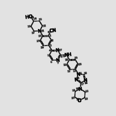 N#Cc1cc(-c2ccnc(Nc3ccc(-n4cnc(N5CCOCC5)n4)cc3)n2)ccc1N1CCC(O)CC1